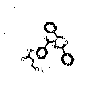 CCCC(=O)O.O=C(NN(C(=O)c1ccccc1)C(=O)c1ccccc1)c1ccccc1